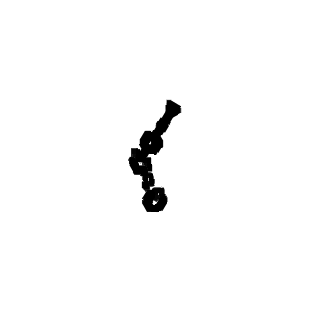 C(#CC1CC1)c1ccc(-c2nccc(OC[C@H]3CCCCO3)n2)cc1